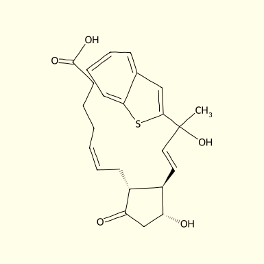 CC(O)(/C=C/[C@H]1[C@H](O)CC(=O)[C@@H]1C/C=C\CCCC(=O)O)c1cc2ccccc2s1